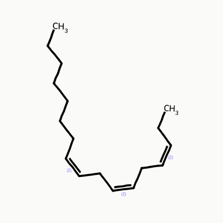 CC/C=C\C/C=C\C/C=C\CCCCCCC